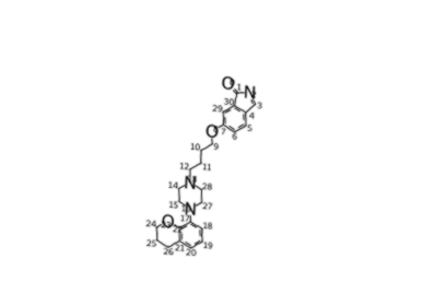 O=C1N=Cc2ccc(OCCCCN3CCN(c4cccc5c4OCCC5)CC3)cc21